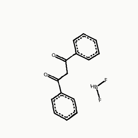 FBF.O=C(CC(=O)c1ccccc1)c1ccccc1